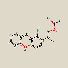 CC(=O)OCC(C)c1ccc2c(c1F)Cc1ccccc1O2